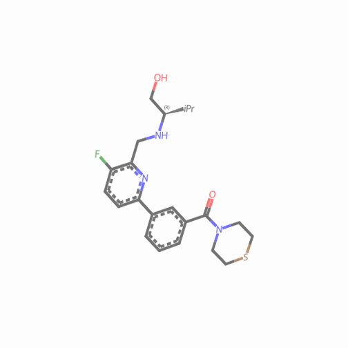 CC(C)[C@H](CO)NCc1nc(-c2cccc(C(=O)N3CCSCC3)c2)ccc1F